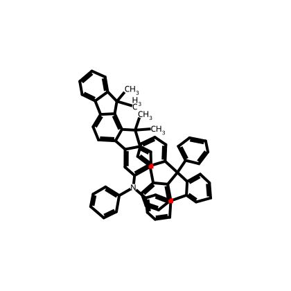 CC1(C)c2ccccc2-c2ccc3c(c21)C(C)(C)c1ccc(N(c2ccccc2)c2cccc(-c4ccccc4C4(c5ccccc5)c5ccccc5-c5ccccc54)c2)cc1-3